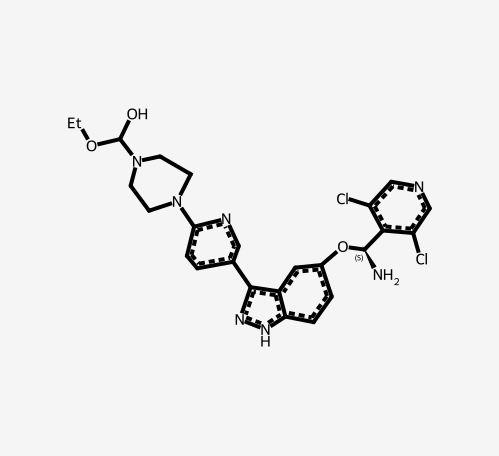 CCOC(O)N1CCN(c2ccc(-c3n[nH]c4ccc(O[C@H](N)c5c(Cl)cncc5Cl)cc34)cn2)CC1